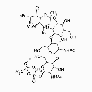 CCC[C@@H](CC)[C@@H](CC)C1O[C@](C)(O[C@@H]2C(O)[C@H](O[C@@H]3C(CO)O[C@@H](O[C@@H]4C(CO)O[C@H](OP(C)(=O)OP(C)(=O)OF)C(NC(C)=O)[C@H]4O)C(NC(C)=O)[C@H]3O)OC(CO)[C@@H]2O)C[C@@H](CC)[C@H]1NC